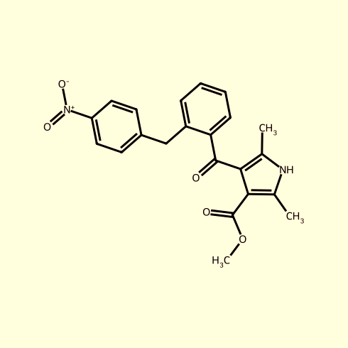 COC(=O)c1c(C)[nH]c(C)c1C(=O)c1ccccc1Cc1ccc([N+](=O)[O-])cc1